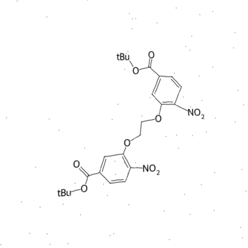 CC(C)(C)OC(=O)c1ccc([N+](=O)[O-])c(OCCOc2cc(C(=O)OC(C)(C)C)ccc2[N+](=O)[O-])c1